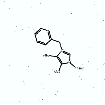 CCCCCCn1c[n+](Cc2ccccc2)c(CCCC)c1CCCC